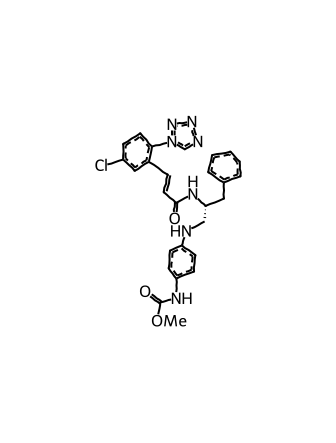 COC(=O)Nc1ccc(NC[C@@H](Cc2ccccc2)NC(=O)/C=C/c2cc(Cl)ccc2-n2cnnn2)cc1